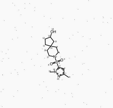 Cc1cc(S(=O)(=O)N2CCC3(CCC(O)C3)CC2)n(C)n1